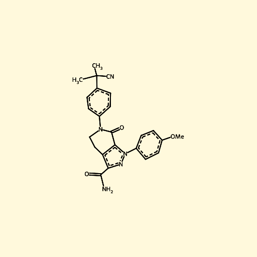 COc1ccc(-n2nc(C(N)=O)c3c2C(=O)N(c2ccc(C(C)(C)C#N)cc2)CC3)cc1